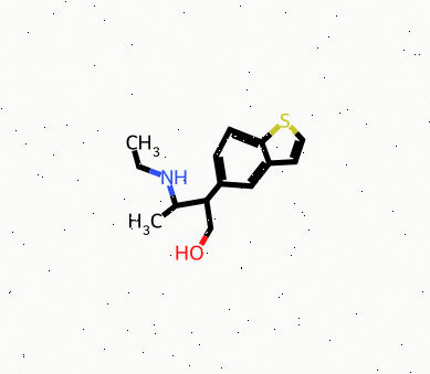 CCNC(C)C(CO)c1ccc2sccc2c1